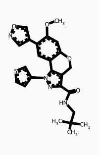 COc1cc2c(cc1-c1cnoc1)-c1c(c(C(=O)NCC(C)(C)C)nn1-c1ccsc1)CO2